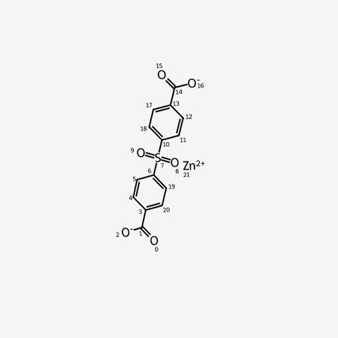 O=C([O-])c1ccc(S(=O)(=O)c2ccc(C(=O)[O-])cc2)cc1.[Zn+2]